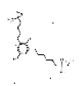 CCC(C)(C)CCCCCCc1cc(O)cc(CCCCC2(C)CC2)c1O